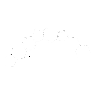 CCN(CC)Cc1c[nH]c(C=C2C(=O)Nc3ccc(CN4CCOC4=O)cc32)c1.Cl